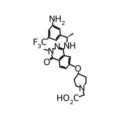 C[C@@H](Nc1nn(C)c(=O)c2ccc(OC3CCN(CC(=O)O)CC3)cc12)c1cc(N)cc(C(F)(F)F)c1